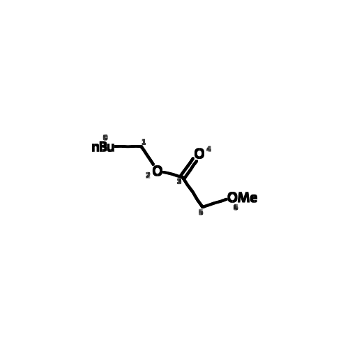 CCCCCOC(=O)COC